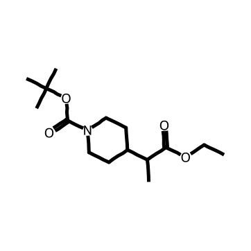 CCOC(=O)C(C)C1CCN(C(=O)OC(C)(C)C)CC1